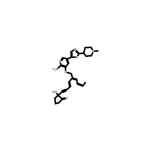 C\C=C/C=C(\C=C\C#CC1(O)CCCC1=O)COc1cc(-c2cnc(C3CCN(C)CC3)s2)cnc1N